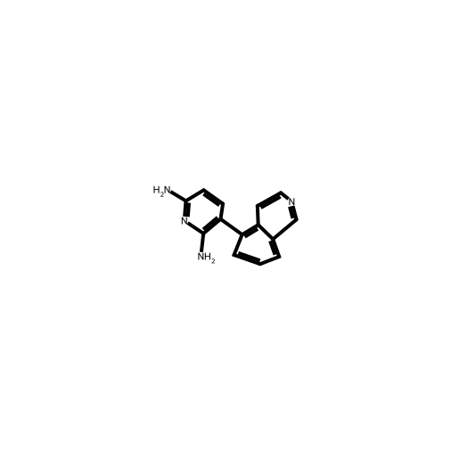 Nc1ccc(-c2cccc3cnccc23)c(N)n1